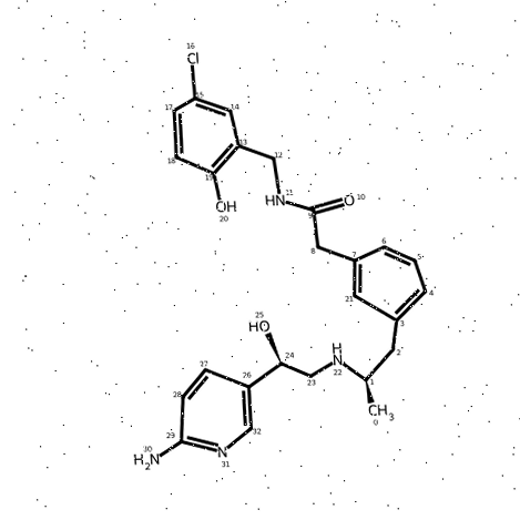 C[C@H](Cc1cccc(CC(=O)NCc2cc(Cl)ccc2O)c1)NC[C@H](O)c1ccc(N)nc1